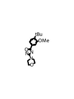 COc1cc(-c2nc(N3CCOCC3)no2)ccc1C(C)(C)C